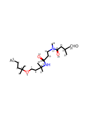 CC(=O)CCC(C)(C)OCCC(C)(C)NC(=O)CCN(C)C(=O)CC(C)C=O